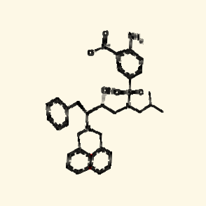 CC(C)CN(C[C@@H](O)[C@H](Cc1ccccc1)N(Cc1ccccc1)Cc1ccccc1)S(=O)(=O)c1ccc(N)c([N+](=O)[O-])c1